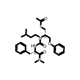 CC(=O)SC[C@H](COc1ccccc1)N(CCC(C)C)C(=O)N[C@@H](Cc1ccccc1)C(=O)N(C)C